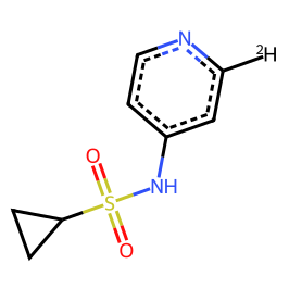 [2H]c1cc(NS(=O)(=O)C2CC2)ccn1